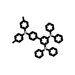 Cc1ccc(N(c2ccc(C)cc2)c2ccc(-c3cc(N(c4ccccc4)c4ccccc4)cc(N(c4ccccc4)c4ccccc4)c3)cc2)cc1